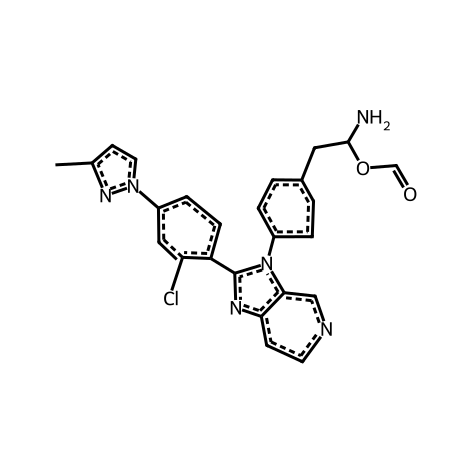 Cc1ccn(-c2ccc(-c3nc4ccncc4n3-c3ccc(CC(N)OC=O)cc3)c(Cl)c2)n1